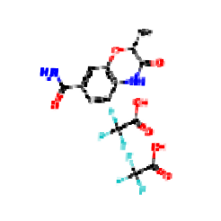 CCCC1Oc2cc(C(N)=O)ccc2NC1=O.O=C(O)C(F)(F)F.O=C(O)C(F)(F)F